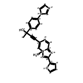 CC(O)(C#CC1=C[N+]2(N)N=C(c3ccco3)N=C2C=N1)c1ccc(-n2ccnc2)cc1